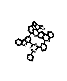 c1ccc(-c2nc(-c3cccc(-c4nc5ccccc5c5cc6c(cc45)Oc4ccccc4C64c5ccccc5-c5ccccc54)c3)nc(-c3cccc4c3sc3ccccc34)n2)cc1